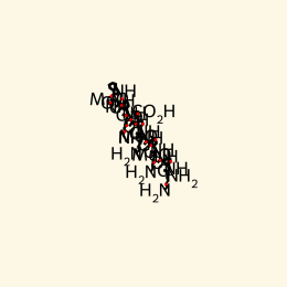 COc1ccc(NC(=O)[C@H](CCCCCN)NC(=O)c2cc(NC(=O)[C@H](CCCCN)NC(=O)c3cc(NC(=O)[C@H](CCCCN)NC(=O)c4cc(NC(=O)[C@@H](N)CCCCN)ccc4OC)ccc3OC)ccc2OCC(=O)O)cc1C(=O)N[C@@H](Cc1c[nH]c2ccccc12)C(N)=O